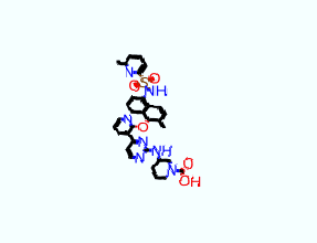 Cc1cccc(S(=O)(=O)Nc2cccc3c(Oc4ncccc4-c4ccnc(NC5CCCN(C(=O)O)C5)n4)c(C)ccc23)n1